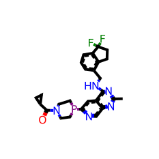 Cc1nc(NCc2cccc3c2CCC3(F)F)c2cc(P3CCN(C(=O)C4CC4)CC3)ncc2n1